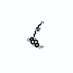 CC(C)CCc1cn(CCCC[C@@H]2CC(=O)[C@@]3(C)CC[C@@H]4c5ccc(O)cc5CC[C@H]4[C@H]23)nn1